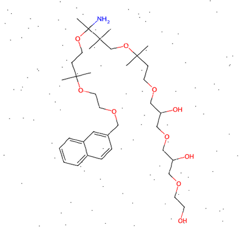 CC(C)(CCOC(C)(N)C(C)(C)COC(C)(C)CCOCC(O)COCC(O)COCCO)OCCOCc1ccc2ccccc2c1